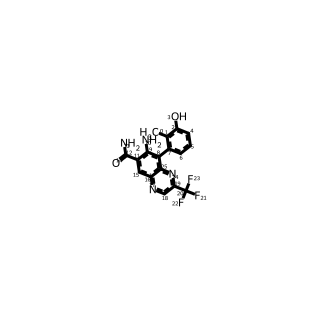 Cc1c(O)cccc1-c1c(N)c(C(N)=O)cc2ncc(C(F)(F)F)nc12